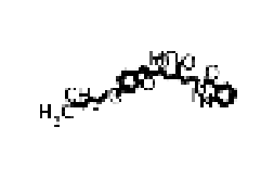 CC(C)CCCCOc1ccc2cc(C(=O)CC(CCn3nnc4ccccc4c3=O)C(=O)O)oc2c1